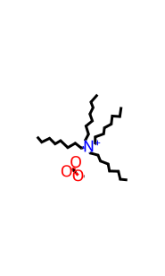 CCCCCCCC[N+](CCCCCCCC)(CCCCCCCC)CCCCCCCC.COC(=O)[O-]